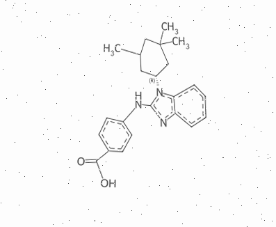 CC1C[C@@H](n2c(Nc3ccc(C(=O)O)cc3)nc3ccccc32)CC(C)(C)C1